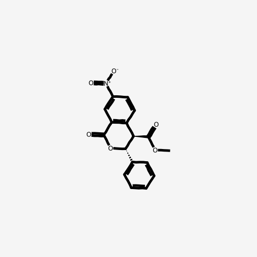 COC(=O)[C@@H]1c2ccc([N+](=O)[O-])cc2C(=O)O[C@H]1c1ccccc1